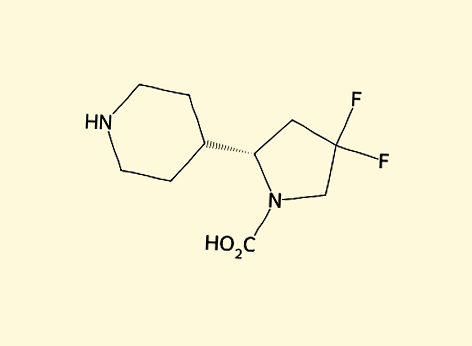 O=C(O)N1CC(F)(F)C[C@H]1C1CCNCC1